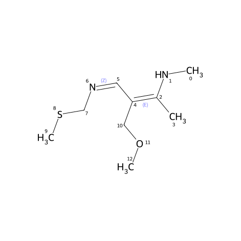 CN/C(C)=C(\C=N/CSC)COC